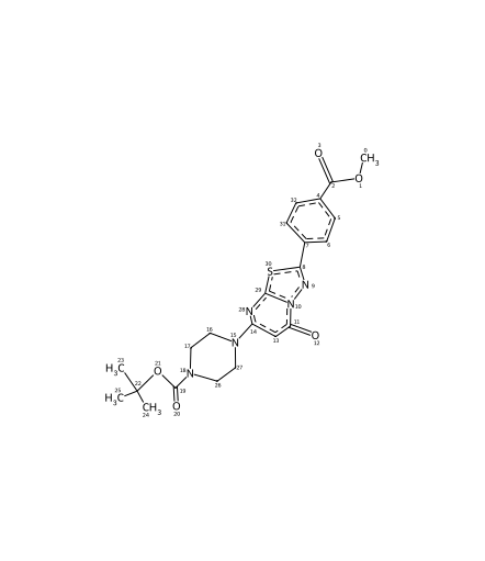 COC(=O)c1ccc(-c2nn3c(=O)cc(N4CCN(C(=O)OC(C)(C)C)CC4)nc3s2)cc1